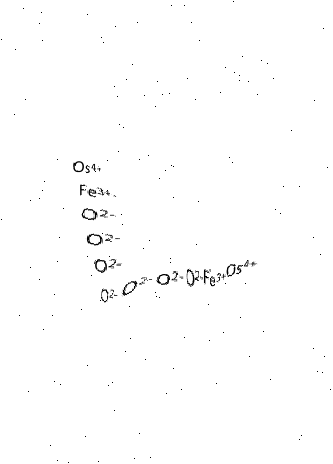 [Fe+3].[Fe+3].[O-2].[O-2].[O-2].[O-2].[O-2].[O-2].[O-2].[Os+4].[Os+4]